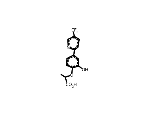 CC(Oc1ccc(-c2ccc(C(F)(F)F)cn2)cc1O)C(=O)O